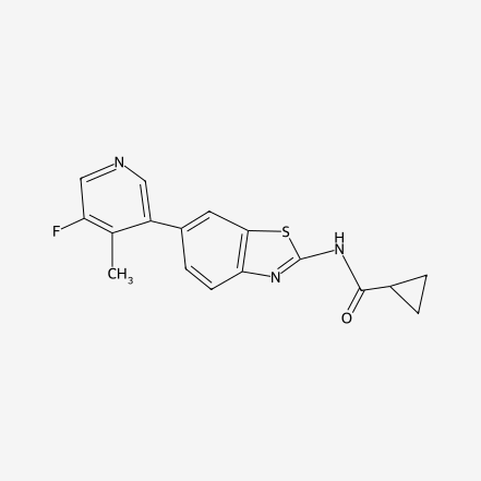 Cc1c(F)cncc1-c1ccc2nc(NC(=O)C3CC3)sc2c1